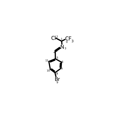 FC(F)(F)C(Cl)N=[C]c1ccc(Br)cc1